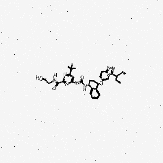 CCC(CC)c1nnc2ccc(O[C@@H]3CC[C@H](NC(=O)Nc4cc(C(C)(C)C)nc(C(=O)NCCO)n4)c4ccccc43)cn12